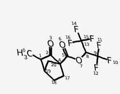 CC1C(=O)C2(C(=O)OC(C(F)(F)F)C(F)(F)F)CCC1C2